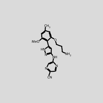 COc1cc(C)cc(OCCCN)c1-c1cc(Nc2cnc(C#N)cn2)n[nH]1